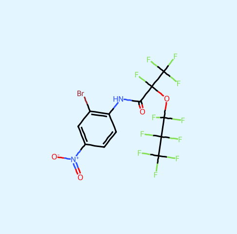 O=C(Nc1ccc([N+](=O)[O-])cc1Br)C(F)(OC(F)(F)C(F)(F)C(F)(F)F)C(F)(F)F